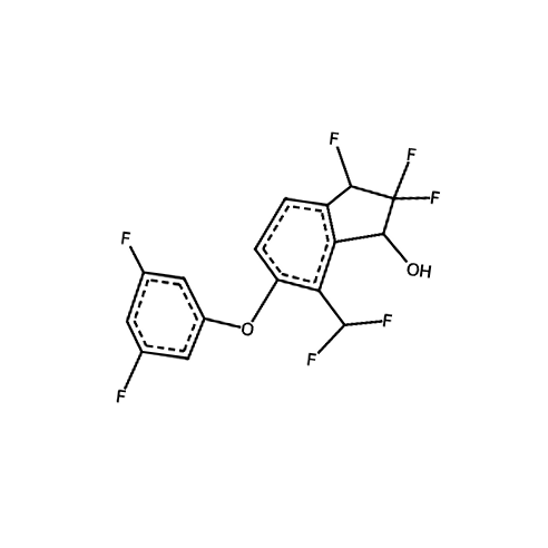 OC1c2c(ccc(Oc3cc(F)cc(F)c3)c2C(F)F)C(F)C1(F)F